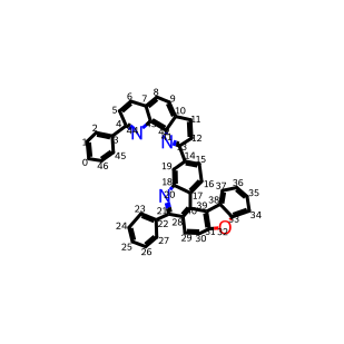 c1ccc(-c2ccc3ccc4ccc(-c5ccc6c(c5)nc(-c5ccccc5)c5ccc7oc8ccccc8c7c56)nc4c3n2)cc1